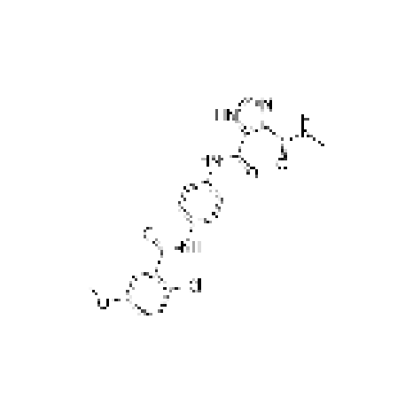 CNC(=O)c1nc[nH]c1C(=O)Nc1ccc(NC(=O)c2cc(OC)ccc2Cl)cc1